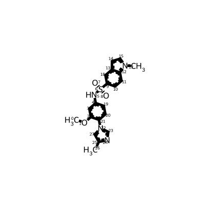 COc1cc(NS(=O)(=O)c2ccc3c(ccn3C)c2)ccc1-n1cnc(C)c1